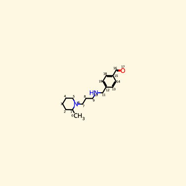 CC1CCCCN1CCCNCc1ccc(C=O)cc1